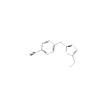 Cl.N#Cc1ccc(Cc2ncc(CCl)[nH]2)cc1